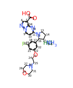 Cl.N.O=C(O)c1cnn2ccc(N3CCCC3c3cc(F)cc(OCCN4CCOCC4)c3)nc12